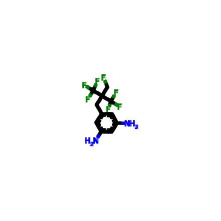 Nc1cc(N)cc(CC(CF)(C(F)(F)F)C(F)(F)F)c1